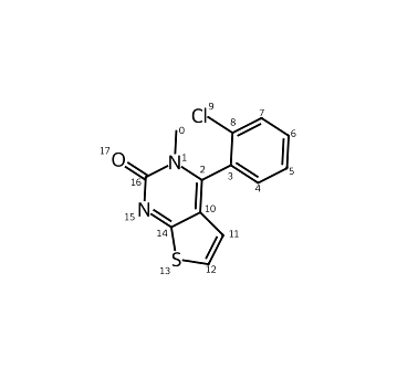 Cn1c(-c2ccccc2Cl)c2ccsc2nc1=O